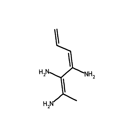 C=C/C=C(N)\C(N)=C(/C)N